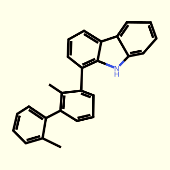 Cc1ccccc1-c1cccc(-c2cccc3c2[nH]c2ccccc23)c1C